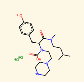 CC(C)CCN(C)C(=O)[C@H](Cc1ccc(O)cc1)N(CCN1CCNCC1)C(=O)O.Cl.Cl